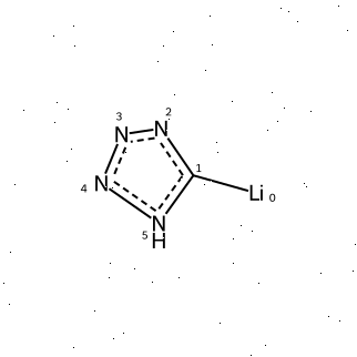 [Li][c]1nnn[nH]1